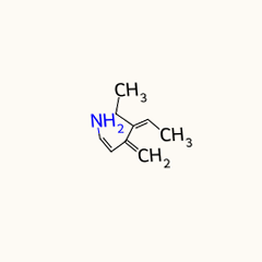 C=C(/C=C\N)/C(=C\C)CC